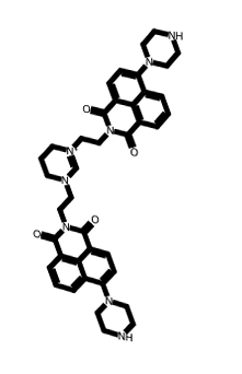 O=C1c2cccc3c(N4CCNCC4)ccc(c23)C(=O)N1CCN1C=[N+](CCN2C(=O)c3cccc4c(N5CCNCC5)ccc(c34)C2=O)CCC1